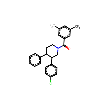 O=C(c1cc(C(F)(F)F)cc(C(F)(F)F)c1)N1CCC(c2ccccc2)C(c2ccc(Cl)cc2)C1